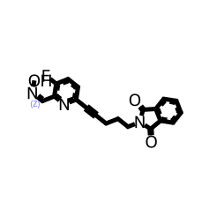 O=C1c2ccccc2C(=O)N1CCCC#Cc1ccc(F)c(/C=N\O)n1